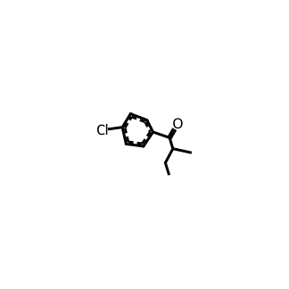 CCC(C)C(=O)c1ccc(Cl)cc1